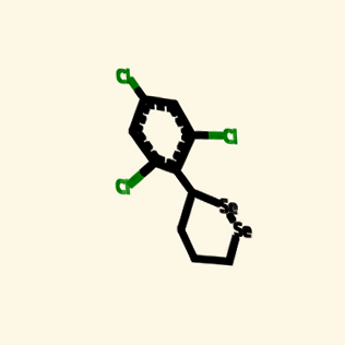 Clc1cc(Cl)c(C2CCC[Se][Se]2)c(Cl)c1